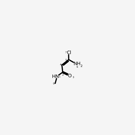 CNC(=O)/C=C(\N)Cl